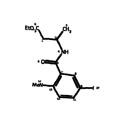 CCOC(=O)CC(C)NC(=O)c1cc(I)ccc1NC